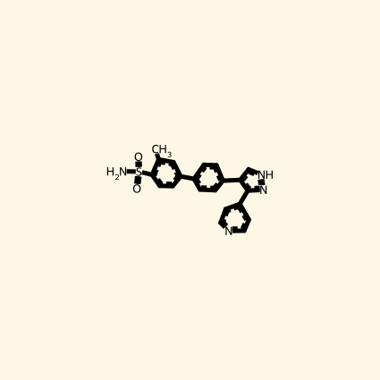 Cc1cc(-c2ccc(-c3c[nH]nc3-c3ccncc3)cc2)ccc1S(N)(=O)=O